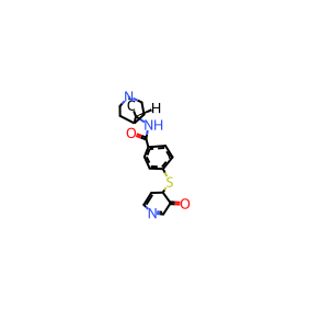 O=C(N[C@H]1CN2CCC1CC2)c1ccc(SC2C=CN=CC2=O)cc1